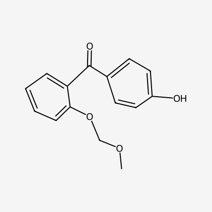 COCOc1ccccc1C(=O)c1ccc(O)cc1